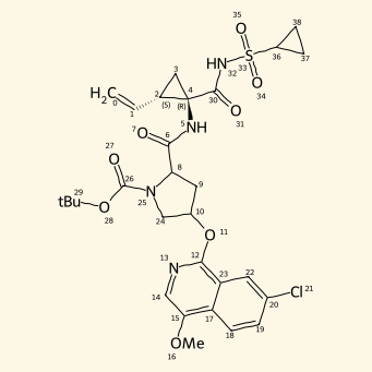 C=C[C@@H]1C[C@]1(NC(=O)C1CC(Oc2ncc(OC)c3ccc(Cl)cc23)CN1C(=O)OC(C)(C)C)C(=O)NS(=O)(=O)C1CC1